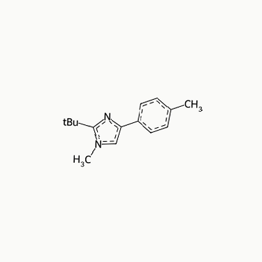 Cc1ccc(-c2cn(C)c(C(C)(C)C)n2)cc1